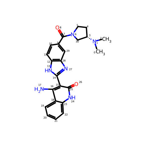 CN(C)[C@H]1CCN(C(=O)c2ccc3[nH]c(-c4c(N)c5ccccc5[nH]c4=O)nc3c2)C1